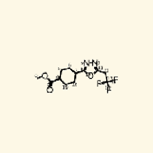 COC(=O)C1CCC(c2nnc(CC(F)(F)F)o2)CC1